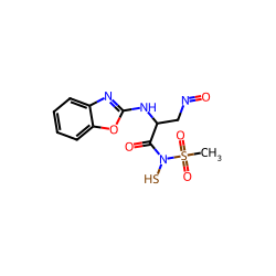 CS(=O)(=O)N(S)C(=O)C(CN=O)Nc1nc2ccccc2o1